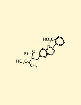 CCC(=O)N(Cc1ccc2nc(-c3ccccc3C(=O)O)ccc2c1)[C@@H](C)C(=O)O